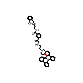 O=C(CNCCN1CCC(OC(=O)N(c2ccccc2-c2ccccc2)c2ccccc2-c2ccccc2)CC1)c1cccc(C(=O)NCCNCc2ccccc2O)c1